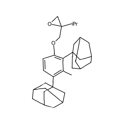 Cc1c(C23CC4CC(CC(C4)C2)C3)ccc(OCC2(C(C)C)CO2)c1C12CC3CC(CC(C3)C1)C2